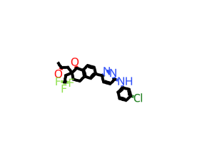 CC(=O)CC1(CC(F)(F)F)CCc2cc(-c3ccc(Nc4cccc(Cl)c4)nn3)ccc2C1=O